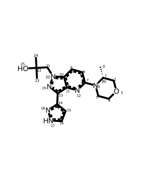 C[C@@H]1COCCN1c1ccc2c(n1)c(-c1cc[nH]n1)nn2CC(C)(C)O